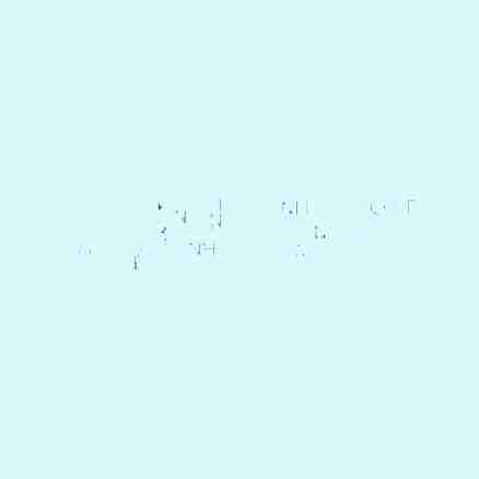 C=C(/C(C)=C1/CC(C)(C)O/C1=C(\C)CC)S(=O)(=O)/N=C(\N)NCCC[C@H](N)C(=O)N1CCC(C(=O)OCC)CC1